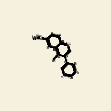 COc1ccc2ncc(-c3ccccc3)c(C)c2c1